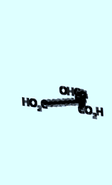 O=Cc1cccc(CN(CCC(=O)O)C(=O)CCCCCCCCCCCCCCC(=O)O)c1